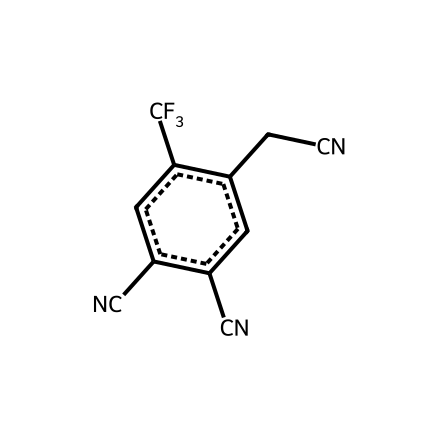 N#CCc1cc(C#N)c(C#N)cc1C(F)(F)F